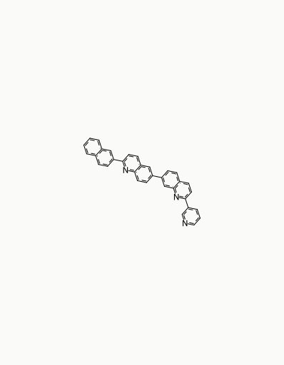 c1cncc(-c2ccc3ccc(-c4ccc5nc(-c6ccc7ccccc7c6)ccc5c4)cc3n2)c1